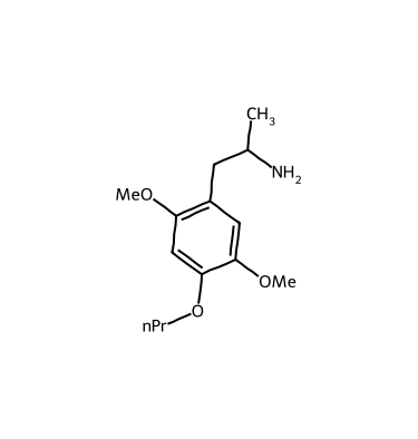 CCCOc1cc(OC)c(CC(C)N)cc1OC